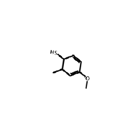 COC1=CC(C)C(S)C=C1